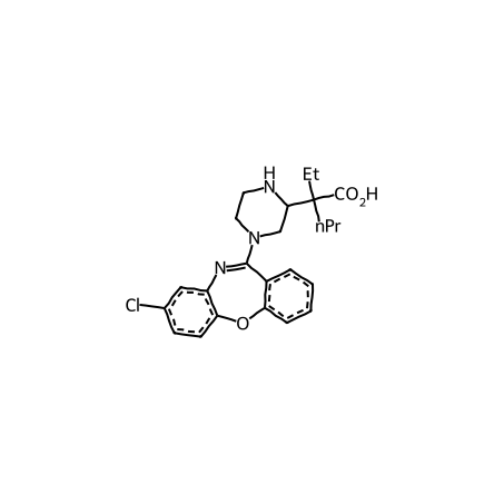 CCCC(CC)(C(=O)O)C1CN(C2=Nc3cc(Cl)ccc3Oc3ccccc32)CCN1